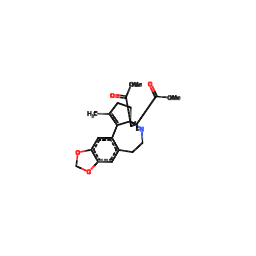 COC(=O)C1=C(C(=O)OC)C23CCC(C)=C2c2cc4c(cc2CCN3C1)OCO4